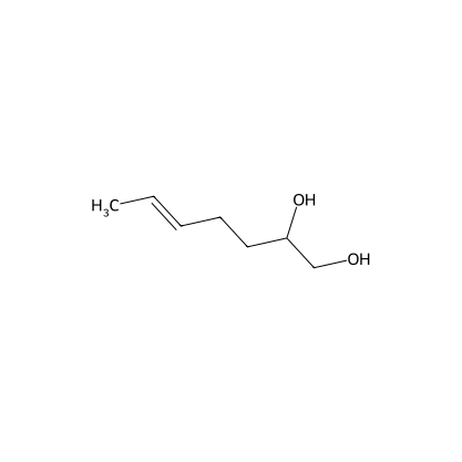 CC=CCCC(O)CO